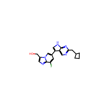 OCc1cnc2c(F)cc(-c3c[nH]c4nc(CC5CCC5)ncc34)cn12